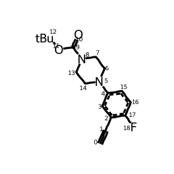 C#Cc1cc(N2CCN(C(=O)OC(C)(C)C)CC2)ccc1F